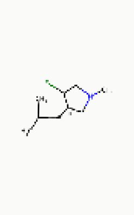 CC(C)C[C@@H]1CN(C)CC1F